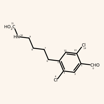 O=Cc1cc(Cl)c(CCCCNC(=O)O)cc1Cl